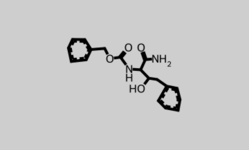 NC(=O)C(NC(=O)OCc1ccccc1)C(O)Cc1ccccc1